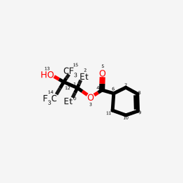 CCC(CC)(OC(=O)C1CC=CCC1)C(O)(C(F)(F)F)C(F)(F)F